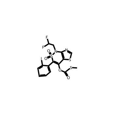 CSC(=O)OC1=C(c2ccccc2I)S(=O)(=O)N(CC(F)F)c2ncsc21